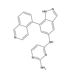 Nc1nccc(Nc2cc(-c3cccc4cnccc34)c3[nH]ncc3c2)n1